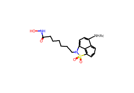 CC(=O)Nc1ccc2c3c(cccc13)S(=O)(=O)N2CCCCCCC(=O)NO